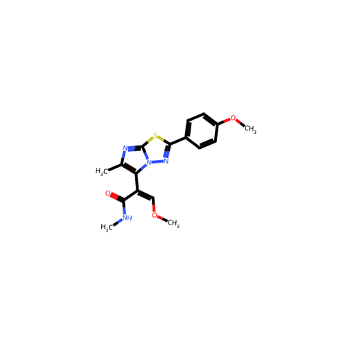 CNC(=O)C(=COC)c1c(C)nc2sc(-c3ccc(OC)cc3)nn12